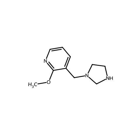 COc1ncccc1CN1CCNC1